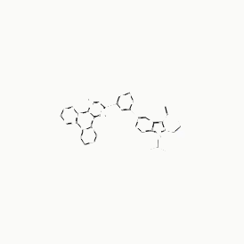 C=Cc1c(/C=C\C)n(C(C)C)c2ccc(-c3cccc(-c4cnc5c6ccccc6c6ccccc6c5n4)c3)cc12